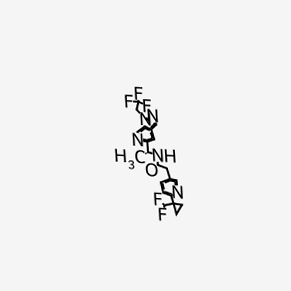 C[C@@H](NC(=O)Cc1ccc(C2(C(F)F)CC2)nc1)c1cc2cnn(CC(F)(F)F)c2cn1